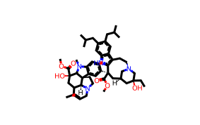 CC[C@]1(O)C[C@@H]2C[N@@](CCc3c([nH]c4cc(CC(C)C)c(CC(C)C)cc34)[C@@](C(=O)OC)(c3ccc4c(c3)[C@@]35CCN6CC=C[C@@](CC)(C[C@](O)(C(=O)OC)C3N4C)[C@H]65)C2)C1